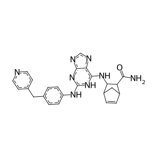 NC(=O)C1C2C=CC(C2)C1Nc1[nH]c(Nc2ccc(Cc3ccncc3)cc2)nc2ncnc1-2